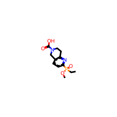 CCP(=O)(OC)c1ccc2c(n1)CCN(C(=O)O)C2